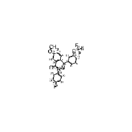 COc1ccc2c(-c3cccc(OC(F)(F)F)c3)nn(-c3ccc(F)cc3)c(=O)c2c1